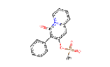 CCCS(=O)(=O)Oc1cc2ccccn2c(=O)c1-c1ccccc1